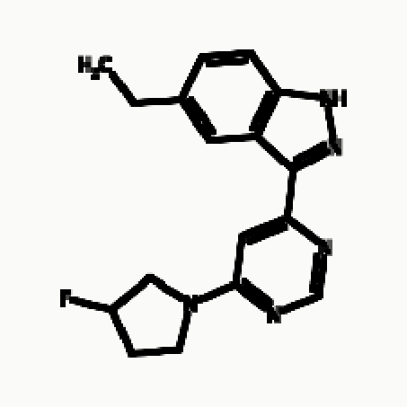 CCc1ccc2[nH]nc(-c3cc(N4CCC(F)C4)ncn3)c2c1